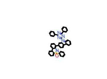 O=S1(c2ccccc2)=Nc2c(-c3ccc4c5ccccc5n(-c5nc(-c6ccccc6)nc(-c6ccccc6)n5)c4c3)cccc2-c2ccccc21